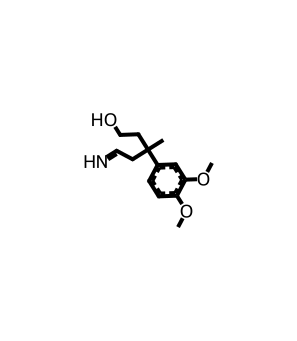 COc1ccc(C(C)(CC=N)CCO)cc1OC